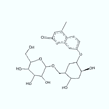 Cc1cc(=O)oc2cc(OC3CC(COC4OC(CO)C(O)C(O)C4O)C(O)C[C@@H]3O)ccc12